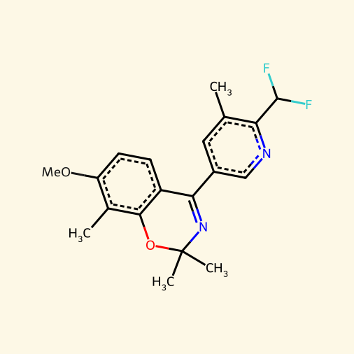 COc1ccc2c(c1C)OC(C)(C)N=C2c1cnc(C(F)F)c(C)c1